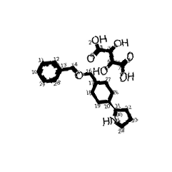 O=C(O)C(O)C(O)C(=O)O.c1ccc(COCC2CCC([C@H]3CCCN3)CC2)cc1